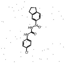 O=C(Nc1ccc(Cl)cc1)N[S+]([O-])c1ccc2c(c1)CCC2